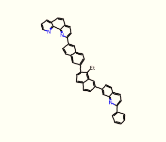 CCc1c(-c2ccc3cc(-c4ccc5ccc6cccnc6c5n4)ccc3c2)ccc2ccc(-c3ccc4ccc(-c5ccccc5)nc4c3)cc12